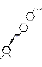 CCCCC[C@H]1CC[C@H](C2CCC(/C=C/C#Cc3ccc(Cl)c(F)c3)CC2)CC1